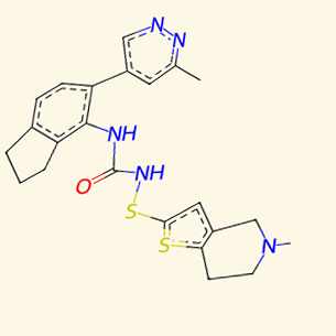 Cc1cc(-c2ccc3c(c2NC(=O)NSc2cc4c(s2)CCN(C)C4)CCC3)cnn1